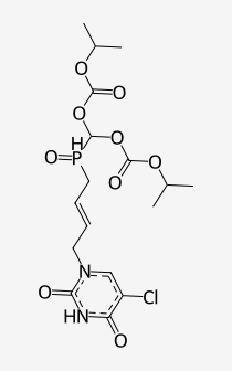 CC(C)OC(=O)OC(OC(=O)OC(C)C)[PH](=O)CC=CCn1cc(Cl)c(=O)[nH]c1=O